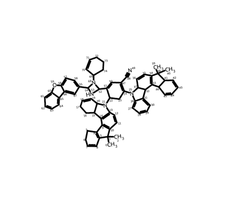 CC1(C)C2=C(CCC=C2)c2c1ccc1c2C2CCC=CC2N1C1CC(N2c3ccccc3C3C4=C(C=CC32)C(C)(C)C2C=CC=CC42)=C(C#N)C=C1C1NC(c2ccc3oc4ccccc4c3c2)N1C1C=CCCC1